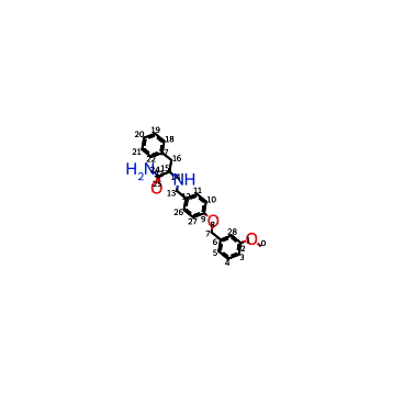 COc1cccc(COc2ccc(CNC(Cc3ccccc3)C(N)=O)cc2)c1